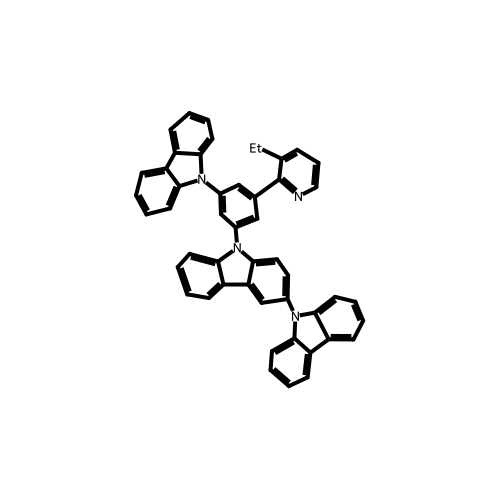 CCc1cccnc1-c1cc(-n2c3ccccc3c3ccccc32)cc(-n2c3ccccc3c3cc(-n4c5ccccc5c5ccccc54)ccc32)c1